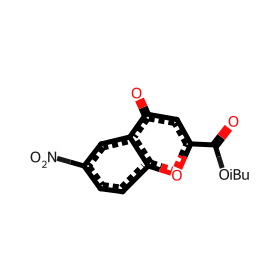 CC(C)COC(=O)c1cc(=O)c2cc([N+](=O)[O-])ccc2o1